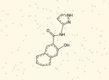 O=C(Nc1cc[nH]n1)c1cc2ccccc2cc1O